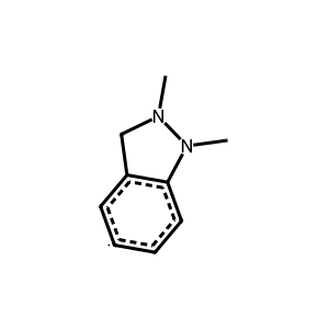 CN1Cc2c[c]ccc2N1C